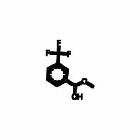 COB(O)c1cccc(C(F)(F)F)c1